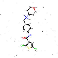 C[N+](C)(Cc1ccc(NC(=O)c2cc(Cl)sc2Cl)cc1)C1CCOCC1